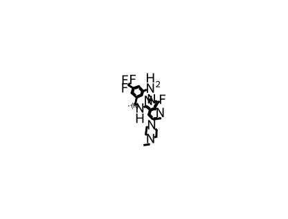 CCN1CCN(c2cnc3c(F)nnc(N[C@H](C)c4cc(N)cc(C(F)(F)F)c4)c3c2)CC1